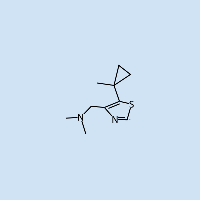 CN(C)Cc1n[c]sc1C1(C)CC1